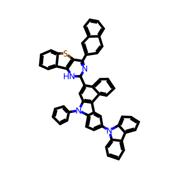 c1ccc(-n2c3ccc(-n4c5ccccc5c5ccccc54)cc3c3c4ccccc4c(C4N=C(c5ccc6ccccc6c5)c5sc6ccccc6c5N4)cc32)cc1